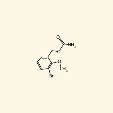 COc1c(Br)cccc1COC(N)=O